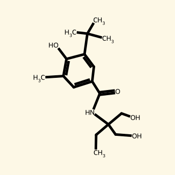 CCC(CO)(CO)NC(=O)c1cc(C)c(O)c(C(C)(C)C)c1